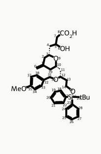 C=C1C[C@H](CC(O)CC(=O)O)O[C@H](C[C@H](CCO[Si](c2ccccc2)(c2ccccc2)C(C)(C)C)OCc2ccc(OC)cc2)C1